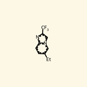 CCc1ccc2nc(C(F)(F)F)cn2c1